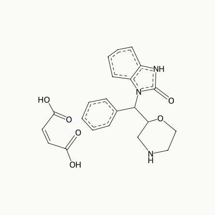 O=C(O)/C=C\C(=O)O.O=c1[nH]c2ccccc2n1C(c1ccccc1)C1CNCCO1